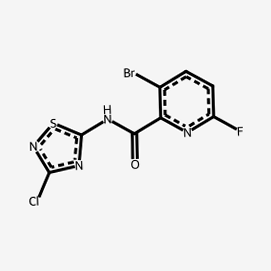 O=C(Nc1nc(Cl)ns1)c1nc(F)ccc1Br